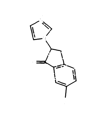 O=C1c2cc(Cl)ccc2CC1n1ccnc1